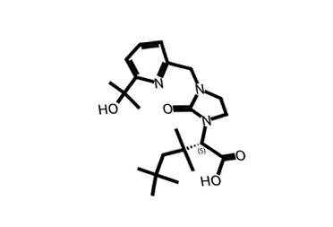 CC(C)(C)CC(C)(C)[C@@H](C(=O)O)N1CCN(Cc2cccc(C(C)(C)O)n2)C1=O